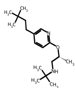 C[C@H](CNC(C)(C)C)Oc1ccc(CCC(C)(C)C)cn1